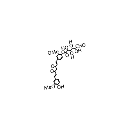 COc1cc(/C=C/C(=O)CC(=O)/C=C/c2ccc(OC(=O)[C@@H](O)[C@@H](O)[C@H](O)[C@@H](O)C=O)c(OC)c2)ccc1O